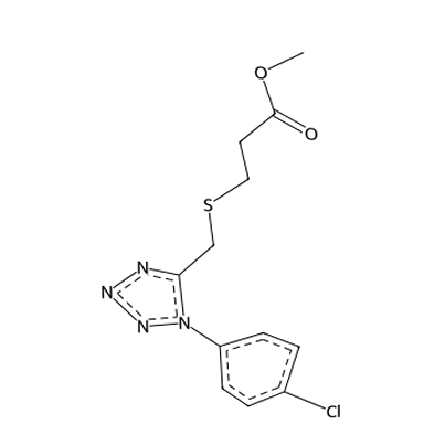 COC(=O)CCSCc1nnnn1-c1ccc(Cl)cc1